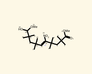 COC(=O)C(C)(C)CC(C)(C)/C(=C/C(C)(C)CC(C)(C)C(O)OC)[N+](=O)[O-]